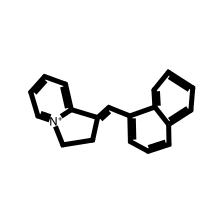 C(=C1CC[n+]2ccccc21)c1cccc2ccccc12